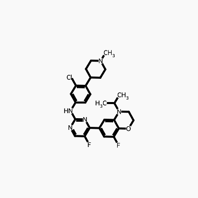 CC(C)N1CCOc2c(F)cc(-c3nc(Nc4ccc(C5CCN(C)CC5)c(Cl)c4)ncc3F)cc21